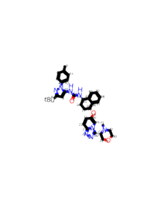 Cc1ccc(-n2nc(C(C)(C)C)cc2NC(=O)N[C@H]2CC[C@@H](Oc3ccc4nnc([C@H]5COCCN5C)n4c3)c3ccccc32)cc1